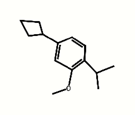 COc1cc(C2CCC2)ccc1C(C)C